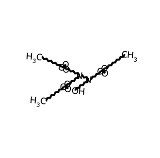 CCCCCCCCCCOC(=O)OCCCCCN(CCCCCCO)CCCN(CCCCCOC(=O)OCCCCCCCCCC)CCCCCOC(=O)OCCCCCCCCCC